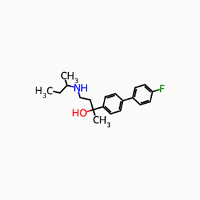 CCC(C)NCCC(C)(O)c1ccc(-c2ccc(F)cc2)cc1